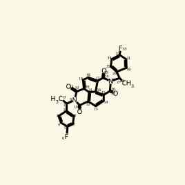 CC(c1ccc(F)cc1)N1C(=O)c2ccc3c4c(ccc(c24)C1=O)C(=O)N(C(C)c1ccc(F)cc1)C3=O